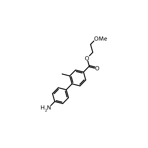 COCCOC(=O)c1ccc(-c2ccc(N)cc2)c(C)c1